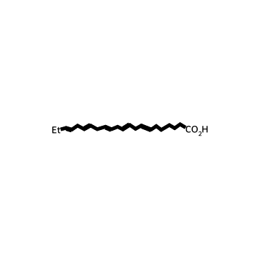 CC/C=C/C/C=C/C/C=C/C/C=C/C/C=C/CCCCCC(=O)O